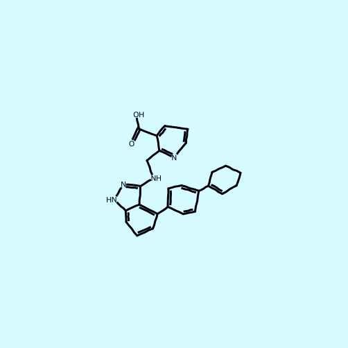 O=C(O)c1cccnc1CNc1n[nH]c2cccc(-c3ccc(C4=CCCCC4)cc3)c12